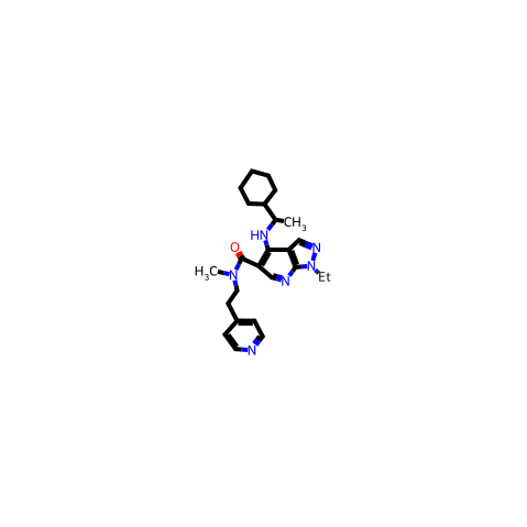 CCn1ncc2c(NC(C)C3CCCCC3)c(C(=O)N(C)CCc3ccncc3)cnc21